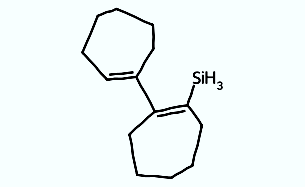 [SiH3]C1=C(C2=CCCCCC2)CCCCC1